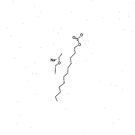 CCCCCCCCCCCCOS(=O)[O-].CCOCC.[Na+]